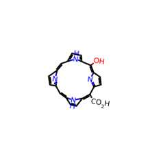 O=C(O)c1c2nc(c(O)c3ccc(cc4nc(cc5ccc1[nH]5)C=C4)[nH]3)C=C2